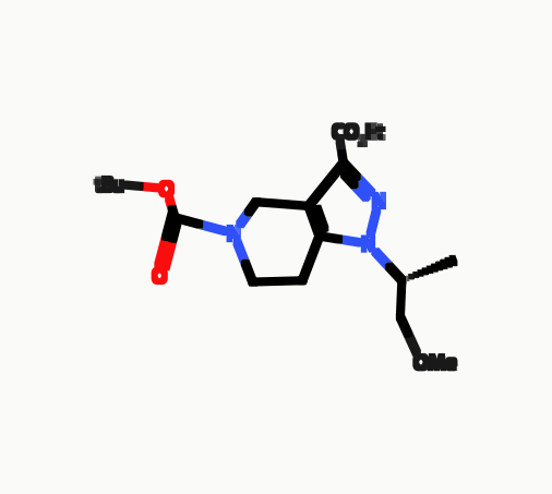 CCOC(=O)c1nn([C@H](C)COC)c2c1CN(C(=O)OC(C)(C)C)CC2